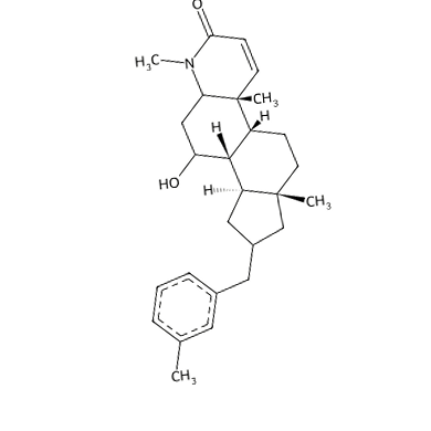 Cc1cccc(CC2C[C@H]3[C@@H]4C(O)CC5N(C)C(=O)C=C[C@]5(C)[C@@H]4CC[C@]3(C)C2)c1